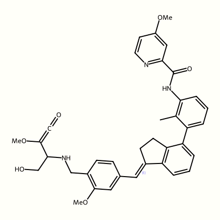 COC(=C=O)C(CO)NCc1ccc(/C=C2\CCc3c2cccc3-c2cccc(NC(=O)c3cc(OC)ccn3)c2C)cc1OC